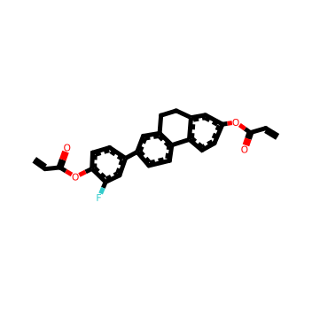 C=CC(=O)Oc1ccc2c(c1)CCc1cc(-c3ccc(OC(=O)C=C)c(F)c3)ccc1-2